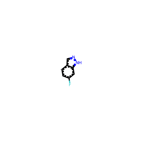 Fc1c[c]c2cn[nH]c2c1